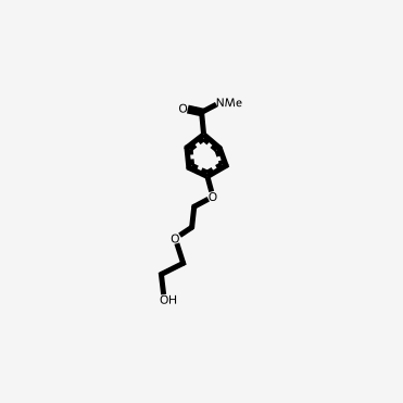 CNC(=O)c1ccc(OCCOCCO)cc1